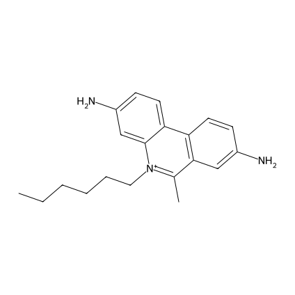 CCCCCC[n+]1c(C)c2cc(N)ccc2c2ccc(N)cc21